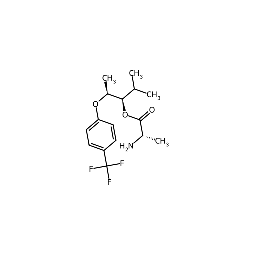 CC(C)[C@@H](OC(=O)[C@H](C)N)[C@H](C)Oc1ccc(C(F)(F)F)cc1